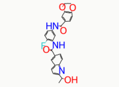 CC(O)c1ccc2cc(C(=O)Nc3cc(NC(=O)c4ccc5c(c4)OCCO5)ccc3F)ccc2n1